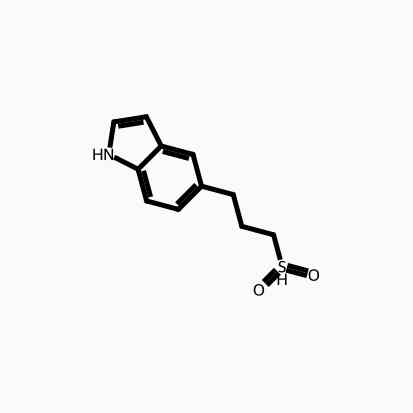 O=[SH](=O)CCCc1ccc2[nH]ccc2c1